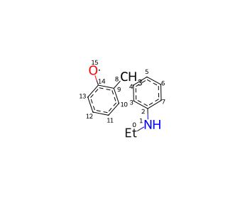 CCNc1ccccc1.Cc1ccccc1[O]